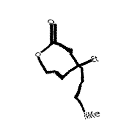 CCC1(CCNC)CCOC(=O)C1